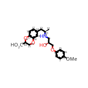 COc1ccc(OC[C@@H](O)CN[C@H](C)Cc2ccc3c(c2)OCC(C(=O)O)O3)cc1